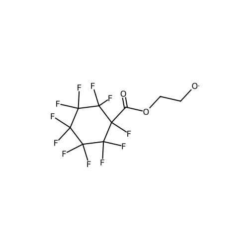 [O]CCOC(=O)C1(F)C(F)(F)C(F)(F)C(F)(F)C(F)(F)C1(F)F